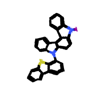 In1c2ccccc2c2c3c4ccccc4n(-c4cccc5c4sc4ccccc45)c3ccc21